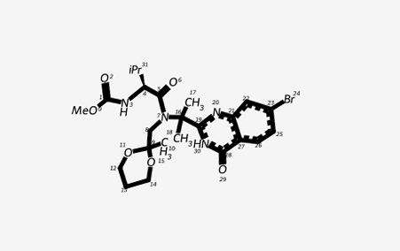 COC(=O)N[C@H](C(=O)N(CC1(C)OCCCO1)C(C)(C)c1nc2cc(Br)ccc2c(=O)[nH]1)C(C)C